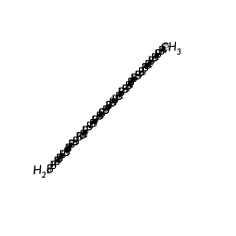 BB=BB=BB=BB=BB=BB=BB=BB=BB=BB=BB=BB=BB=BB=BB=BB=BB=BC